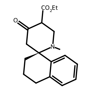 CCOC(=O)C1CN(C)[C@@]2(CCCc3ccccc32)CC1=O